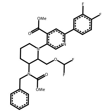 COC(=O)c1cc(-c2ccc(F)c(F)c2)ncc1N1CCCC(N(Cc2ccccc2)C(=O)OC)C1COC(F)F